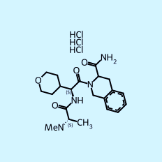 CN[C@@H](C)C(=O)N[C@H](C(=O)N1Cc2ccccc2CC1C(N)=O)C1CCOCC1.Cl.Cl.Cl